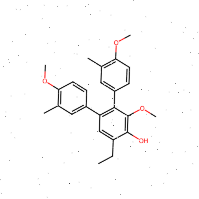 CCc1[c]c(-c2ccc(OC)c(C)c2)c(-c2ccc(OC)c(C)c2)c(OC)c1O